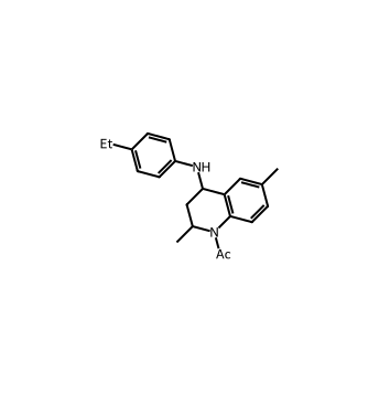 CCc1ccc(NC2CC(C)N(C(C)=O)c3ccc(C)cc32)cc1